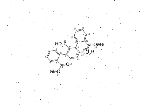 COC(=O)c1ccccc1-c1ccc(C(=O)O)c(-c2ccccc2C(=O)OC)c1C(=O)O